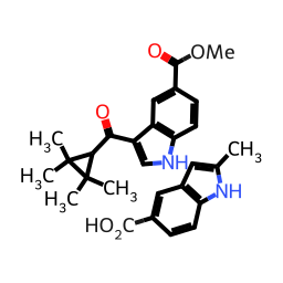 COC(=O)c1ccc2[nH]cc(C(=O)C3C(C)(C)C3(C)C)c2c1.Cc1cc2cc(C(=O)O)ccc2[nH]1